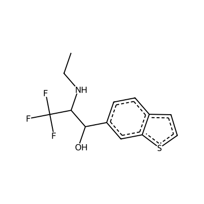 CCNC(C(O)c1ccc2ccsc2c1)C(F)(F)F